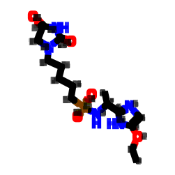 CCOc1cnc(C(C)NS(=O)(=O)CCCCCN2CC(=O)NC2=O)[nH]1